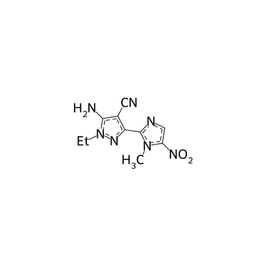 CCn1nc(-c2ncc([N+](=O)[O-])n2C)c(C#N)c1N